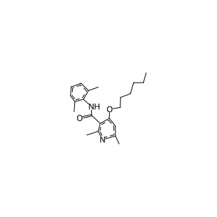 CCCCCCOc1cc(C)nc(C)c1C(=O)Nc1c(C)cccc1C